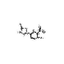 O=c1[nH]nc(-c2ccc(F)c([N+](=O)[O-])c2)s1